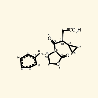 O=C(O)C[C@H](C(=O)N1C(=O)OC[C@@H]1Cc1ccccc1)C1CC1